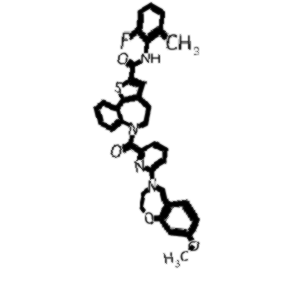 COc1ccc2c(c1)OCCN(c1cccc(C(=O)N3CCc4cc(C(=O)Nc5c(C)cccc5F)sc4-c4ccccc43)n1)C2